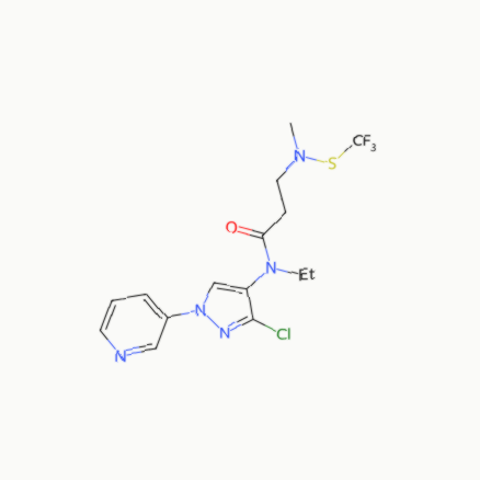 CCN(C(=O)CCN(C)SC(F)(F)F)c1cn(-c2cccnc2)nc1Cl